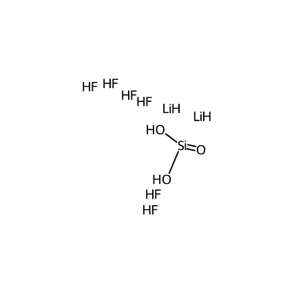 F.F.F.F.F.F.O=[Si](O)O.[LiH].[LiH]